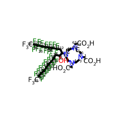 O=C(O)CN1CCN(CC(=O)O)CCN(C(CC(F)(F)C(F)(F)C(F)(F)C(F)(F)C(F)(F)C(F)(F)C(F)(F)C(F)(F)F)C(O)CC(F)(F)C(F)(F)C(F)(F)C(F)(F)C(F)(F)C(F)(F)C(F)(F)C(F)(F)F)CCN(CC(=O)O)CC1